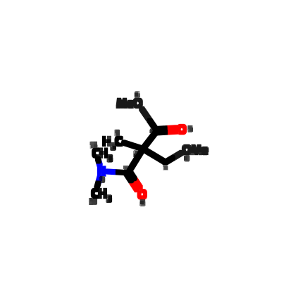 COCC(C)(C(=O)OC)C(=O)N(C)C